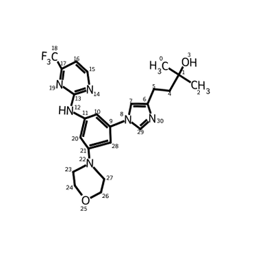 CC(C)(O)CCc1cn(-c2cc(Nc3nccc(C(F)(F)F)n3)cc(N3CCOCC3)c2)cn1